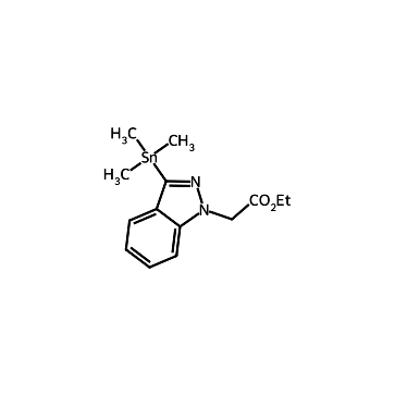 CCOC(=O)Cn1n[c]([Sn]([CH3])([CH3])[CH3])c2ccccc21